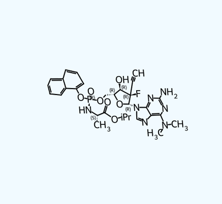 C#C[C@@]1(F)[C@H](O)[C@@H](CO[P@](=O)(N[C@@H](C)C(=O)OC(C)C)Oc2cccc3ccccc23)O[C@H]1n1cnc2c(N(C)C)nc(N)nc21